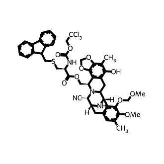 COCOc1c(OC)c(C)cc2c1[C@@H]1N[C@H](C2)[C@H](C#N)N2C1Cc1c(O)c(C)c3c(c1[C@@H]2COC(=O)[C@@H](CSCC1c2ccccc2-c2ccccc21)NC(=O)OCC(Cl)(Cl)Cl)OCO3